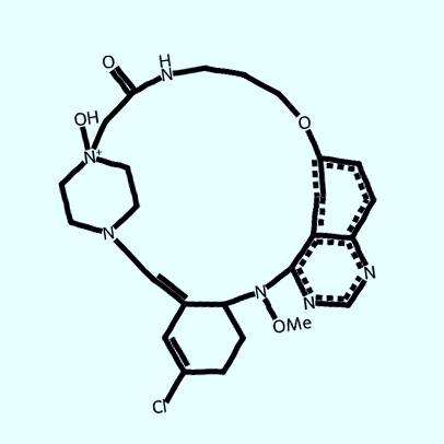 CON1c2ncnc3ccc(cc23)OCCCNC(=O)C[N+]2(O)CCN(/C=C3\C=C(Cl)CCC31)CC2